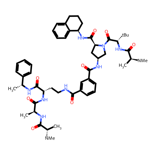 CN[C@@H](C)C(=O)N[C@@H](C)C(=O)N[C@@H](CCNC(=O)c1cccc(C(=O)N[C@H]2C[C@@H](C(=O)N[C@@H]3CCCc4ccccc43)N(C(=O)[C@@H](NC(=O)[C@H](C)NC)C(C)(C)C)C2)c1)C(=O)N[C@H](C)c1ccccc1